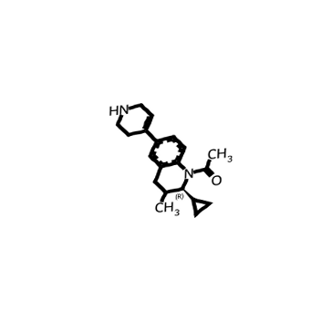 CC(=O)N1c2ccc(C3=CCNCC3)cc2CC(C)[C@@H]1C1CC1